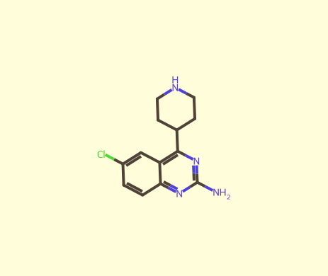 Nc1nc(C2CCNCC2)c2cc(Cl)ccc2n1